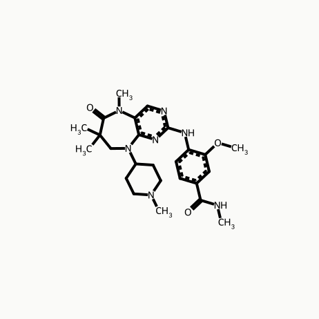 CNC(=O)c1ccc(Nc2ncc3c(n2)N(C2CCN(C)CC2)CC(C)(C)C(=O)N3C)c(OC)c1